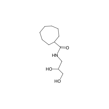 O=C(NCC(O)CO)C1CCCCCCC1